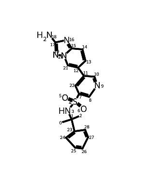 CC(C)(NS(=O)(=O)c1cncc(-c2ccc3nc(N)nn3c2)c1)c1ccccc1